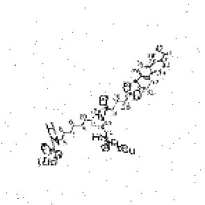 CC(C)(C)OC(=O)NCCCCCCCCN(CCCNC(=O)OC(C)(C)C)C(=O)CCCC(=O)OC1CCC2C(=CCC3C4CCCC4CCC23)C1